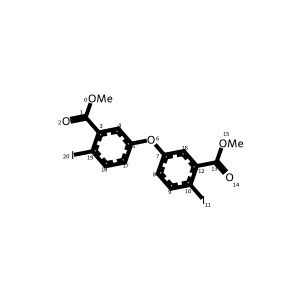 COC(=O)c1cc(Oc2ccc(I)c(C(=O)OC)c2)ccc1I